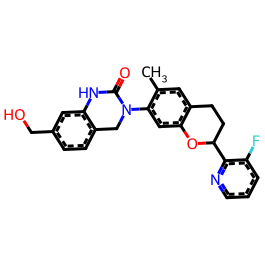 Cc1cc2c(cc1N1Cc3ccc(CO)cc3NC1=O)OC(c1ncccc1F)CC2